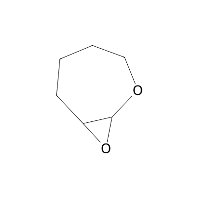 C1CCC2OC2OC1